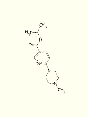 CC(C)OC(=O)c1ccc(N2CCN(C)CC2)nc1